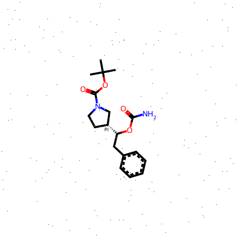 CC(C)(C)OC(=O)N1CC[C@@H](C(Cc2ccccc2)OC(N)=O)C1